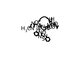 Cc1cnc(C(=O)N[C@H]2CCCCC/C=C\[C@H]3C[C@@]3(C(=O)NS(=O)(=O)C3CC3)NC(=O)[C@@H]3C[C@@H](Oc4nc5ccccc5nc4-c4nc5ccccc5s4)CN3C2=O)cn1